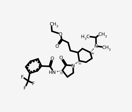 CCOC(=O)CCC1C[C@H](N(C)C(C)C)CC[C@@H]1N1CC[C@H](NC(=O)c2cccc(C(F)(F)F)c2)C1=O